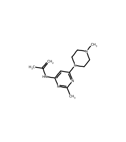 C=C(C)Nc1cc(N2CCN(C)CC2)nc(C)n1